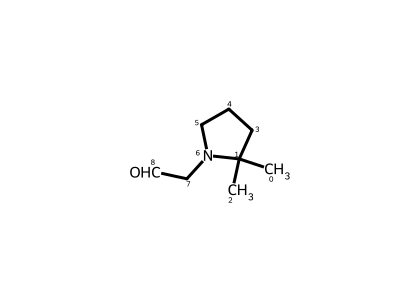 CC1(C)CCCN1CC=O